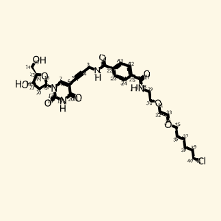 O=C(NCC#Cc1cn([C@H]2C[C@H](O)[C@@H](CO)O2)c(=O)[nH]c1=O)c1ccc(C(=O)NCCOCCOCCCCCCCl)cc1